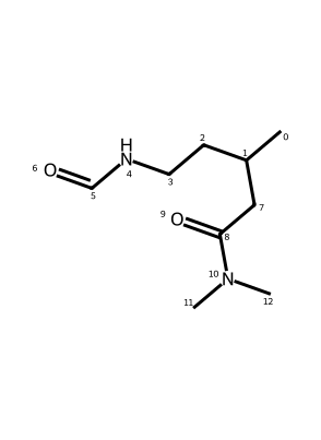 CC(CCNC=O)CC(=O)N(C)C